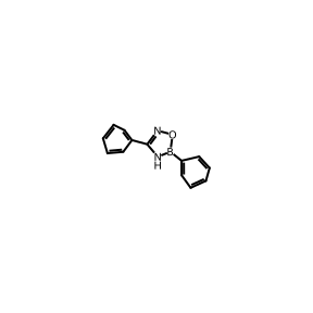 c1ccc(B2NC(c3ccccc3)=NO2)cc1